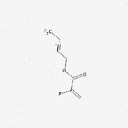 C=C(F)C(=O)OC/C=C/C(F)(F)F